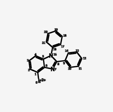 [Ir+2][c]1cccc2c1nc(-c1ccccc1)n2-c1ccccc1